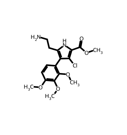 COC(=O)c1[nH]c(CCN)c(-c2ccc(OC)c(OC)c2OC)c1Cl